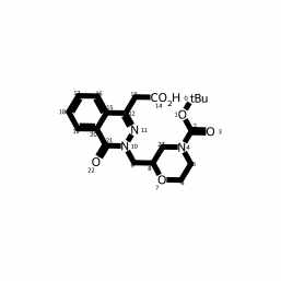 CC(C)(C)OC(=O)N1CCOC(Cn2nc(CC(=O)O)c3ccccc3c2=O)C1